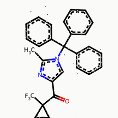 Cc1nc(C(=O)C2(C(F)(F)F)CC2)cn1C(c1ccccc1)(c1ccccc1)c1ccccc1